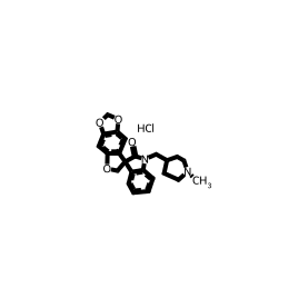 CN1CCC(CN2C(=O)C3(COc4cc5c(cc43)OCO5)c3ccccc32)CC1.Cl